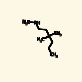 CCC[Si](C)(C)CCNC